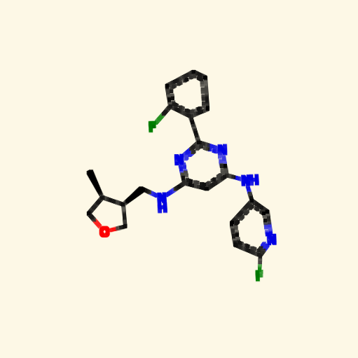 C[C@@H]1COC[C@@H]1CNc1cc(Nc2ccc(F)nc2)nc(-c2ccccc2F)n1